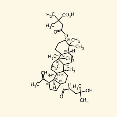 C=C(C)[C@@H]1CC[C@]2(C(=O)NCC(C)(C)O)CC[C@]3(C)[C@H](CC[C@@]4(C)[C@@]3(C)CC[C@H]3C(C)(C)[C@@H](OC(=O)CC(C)(C)C(=O)O)CC[C@@]34C)[C@@H]12